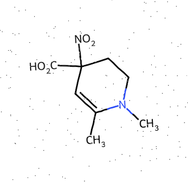 CC1=CC(C(=O)O)([N+](=O)[O-])CCN1C